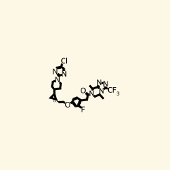 CC1c2nnc(C(F)(F)F)n2C(C)CN1C(=O)Cc1ccc(OCC[C@@H]2CC2C2CCN(c3ncc(Cl)cn3)CC2)cc1F